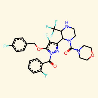 O=C(N1CCOCC1)N1CCNC(C(F)(F)F)C1c1nn(C(=O)c2ccccc2F)c(OCc2ccc(F)cc2)c1F